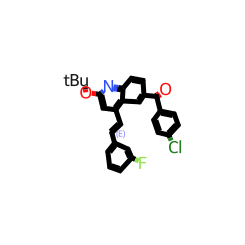 CC(C)(C)Oc1cc(/C=C/c2cccc(F)c2)c2cc(C(=O)c3ccc(Cl)cc3)ccc2n1